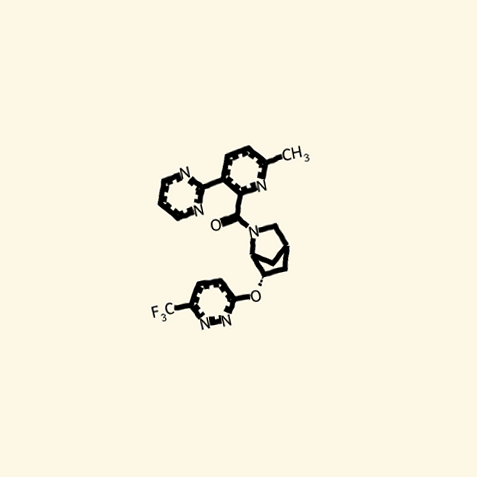 Cc1ccc(-c2ncccn2)c(C(=O)N2CC3CC2[C@@H](Oc2ccc(C(F)(F)F)nn2)C3)n1